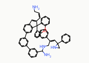 NC/C=C\C1=Cc2ccc(-c3cccc(-c4cccc(C(N)NC/C(=C\C5(c6ccccc6)CN5)c5ccccc5)c4)c3)cc2C12c1ccccc1Oc1ccccc12